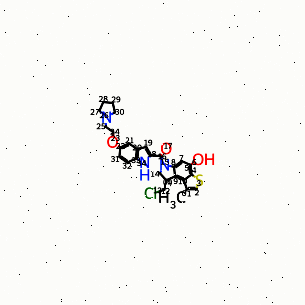 Cc1csc2c(O)cc3c(c12)[C@@H](CCl)CN3C(=O)c1cc2cc(OCCN3CCCC3)ccc2[nH]1